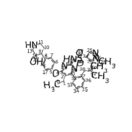 CCc1c(Oc2ccc(C3CCNCC3O)cc2)nc(NS(=O)(=O)c2cnn(C)c2)nc1-c1ccccc1CC(C)C